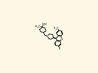 CC1(O)CCC(CN2CCC(=C3c4ccc(F)cc4Sc4ccc(C(F)(F)F)cc43)CC2)CC1